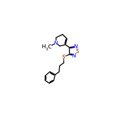 CN1CCC=C(c2nsnc2SCCCc2ccccc2)C1